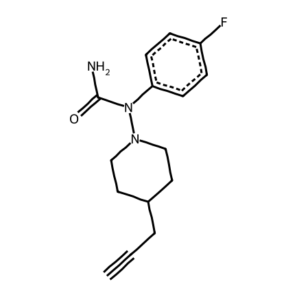 C#CCC1CCN(N(C(N)=O)c2ccc(F)cc2)CC1